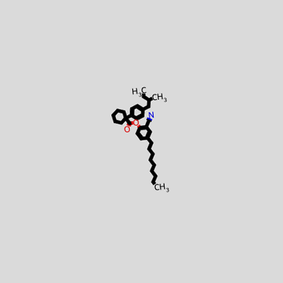 CCCCCCCCCc1ccc(OC(=O)C2(c3ccc(CC(C)CC)cc3)CCCCC2)c(C#N)c1